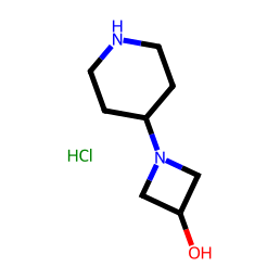 Cl.OC1CN(C2CCNCC2)C1